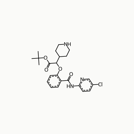 CC(C)(C)OC(=O)C(Oc1ccccc1C(=O)Nc1ccc(Cl)cn1)C1CCNCC1